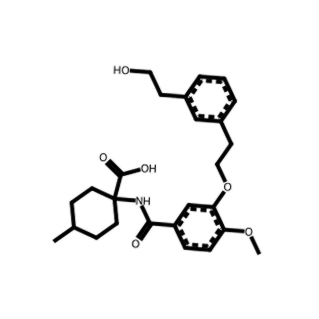 COc1ccc(C(=O)NC2(C(=O)O)CCC(C)CC2)cc1OCCc1cccc(CCO)c1